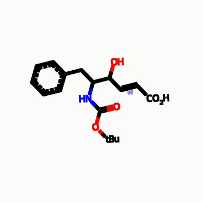 CC(C)(C)OC(=O)NC(Cc1ccccc1)C(O)/C=C/C(=O)O